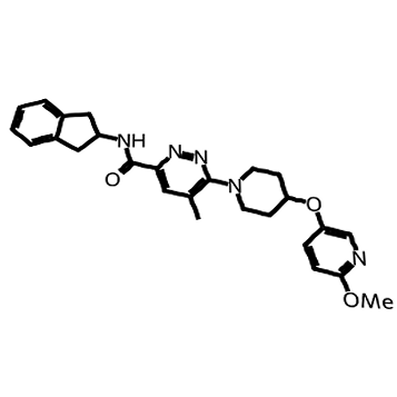 COc1ccc(OC2CCN(c3nnc(C(=O)NC4Cc5ccccc5C4)cc3C)CC2)cn1